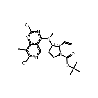 C=C[C@@H]1[C@H](N(C)c2nc(Cl)nc3c(F)c(Cl)ncc23)CCN1C(=O)OC(C)(C)C